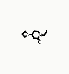 O=C1CC(N2CCC2)CCN1CI